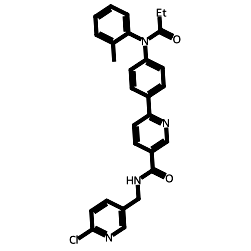 CCC(=O)N(c1ccc(-c2ccc(C(=O)NCc3ccc(Cl)nc3)cn2)cc1)c1ccccc1C